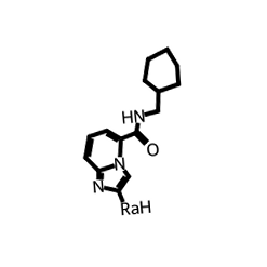 O=C(NCC1CCCCC1)c1cccc2n[c]([RaH])cn12